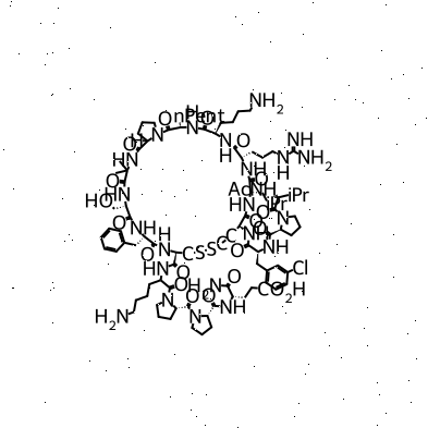 CCCCC[C@@H]1NC(=O)[C@@H](CCCCN)NC(=O)[C@H](CCCNC(=N)N)NC(=O)[C@H](CC(C)C)NC(=O)[C@@H](NC(=O)[C@H](Cc2cccc(Cl)c2)NC(=O)[C@@H]2CCCN2C(=O)[C@@H](NC(C)=O)C(C)C)CCSSC[C@@H](C(=O)NC(CCCCN)C(=O)N2CCC[C@H]2C(=O)N2CCC[C@H]2C(=O)N[C@@H](CCC(=O)O)C(N)=O)NC(=O)[C@H](Cc2ccccc2)NC(=O)[C@H](CO)NC(=O)C(C)(C)NC(=O)[C@@H]2CCCN2C1=O